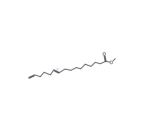 C=CCCC/C=C/CCCCCCCCC(=O)OC